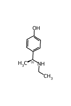 CCN[C@@H](C)c1ccc(O)cc1